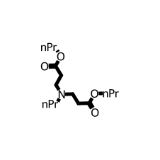 CCCOC(=O)CCN(CCC)CCC(=O)OCCC